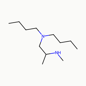 CCCCN(CCCC)CC(C)NC